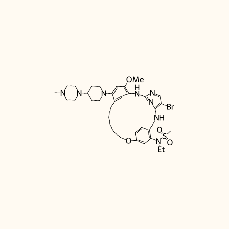 CCN(c1cc2ccc1Nc1nc(ncc1Br)Nc1cc(c(N3CCC(N4CCN(C)CC4)CC3)cc1OC)CCCCCO2)S(C)(=O)=O